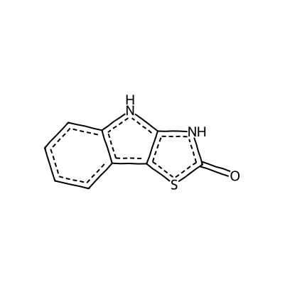 O=c1[nH]c2[nH]c3ccccc3c2s1